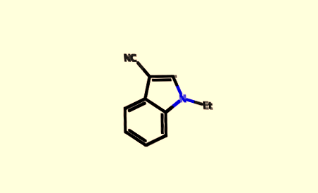 CCn1[c]c(C#N)c2ccccc21